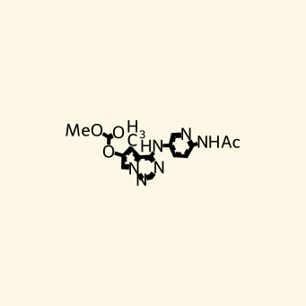 COC(=O)Oc1cn2ncnc(Nc3ccc(NC(C)=O)nc3)c2c1C